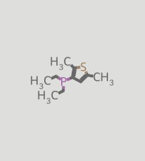 CCP(CC)c1cc(C)sc1C